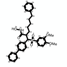 COc1ccc(S(=O)(=O)C(c2ccc(-c3ccccc3)cc2)C(CCCCCc2ccccc2)C(=O)NO)cc1OC